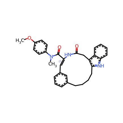 COc1ccc(N(C)C(=O)/C2=C/c3cccc(c3)CCCCc3[nH]c4ccccc4c3CC(=O)N2)cc1